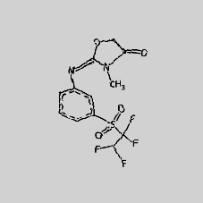 CN1C(=O)COC1=Nc1cccc(S(=O)(=O)C(F)(F)C(F)F)c1